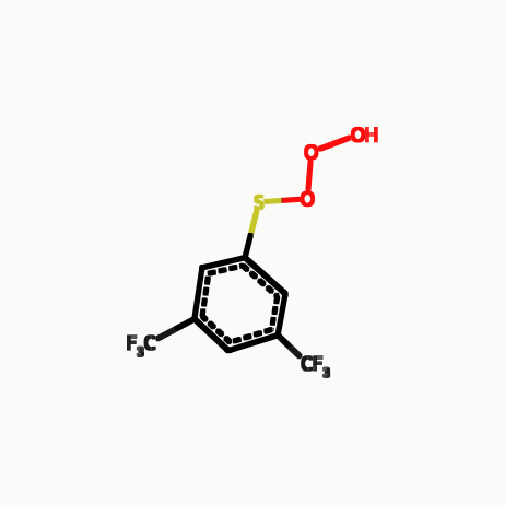 OOOSc1cc(C(F)(F)F)cc(C(F)(F)F)c1